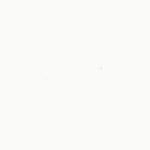 C/C=C/Sc1ccc(C)cc1